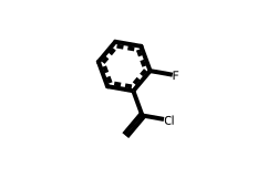 C=C(Cl)c1ccccc1F